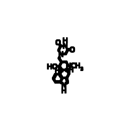 CN1CC(CN2CC(=O)NC(=O)C2)C(O)[C@@H]2c3cccc4[nH]cc(c34)C[C@H]21